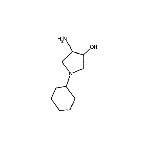 NC1CN(C2CCCCC2)CC1O